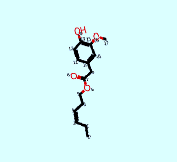 CC/C=C\CCOC(=O)Cc1ccc(O)c(OC)c1